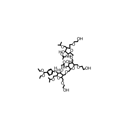 CCOC(OCC)c1ccc(NC2C(COC(C)C)OC(COCCO)C(COCC3OC(COCCO)C(COCC4OC(COCCO)C(COC(C)C)C(O)C4NC(C)=O)C(O)C3NC(C)=O)C2O)cc1